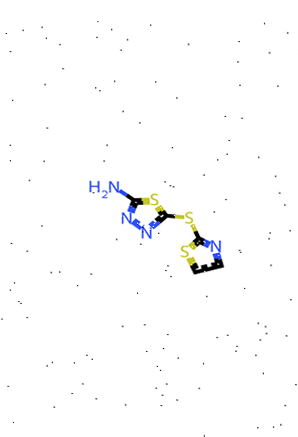 Nc1nnc(Sc2nccs2)s1